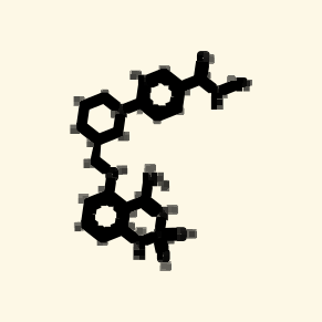 CC(C)NC(=O)c1ccc(N2CCC[C@H](COc3cccc4c3C(N)=NS(=O)(=O)N4)C2)nc1